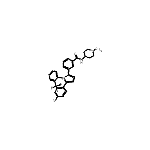 CN1CCC(NC(=O)c2cccc(-c3ccc(-c4ccc(Br)cc4)n3-c3ccccc3C(F)(F)F)c2)CC1